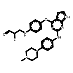 CN1CCN(c2ccc(Nc3nc(Oc4ccc(NCC(Cl)C=O)cc4)c4cc[nH]c4n3)cc2)CC1